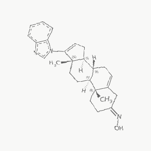 C[C@]12CCC(=NO)CC1=CC[C@@H]1[C@@H]2CC[C@]2(C)C(n3cnc4ccccc43)=CC[C@@H]12